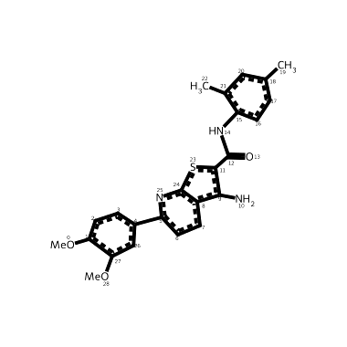 COc1ccc(-c2ccc3c(N)c(C(=O)Nc4ccc(C)cc4C)sc3n2)cc1OC